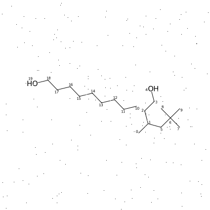 CC(CCO)CC(C)(C)C.CCCCCCCCCO